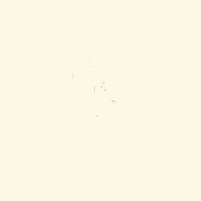 CCC(CC)[C@@H](OCC1CC1)[C@H](C)OC(=O)[C@H](C)NC(=O)OC(C)(C)C